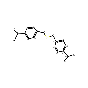 CC(C)c1ccc(CSCc2ccc(C(C)C)cc2)cc1